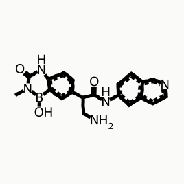 CN1B(O)c2cc(C(CN)C(=O)Nc3ccc4cnccc4c3)ccc2NC1=O